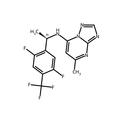 Cc1cc(N[C@H](C)c2cc(F)c(C(F)(F)F)cc2F)n2ncnc2n1